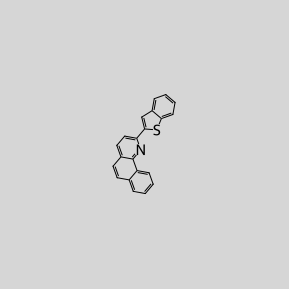 c1ccc2sc(-c3ccc4ccc5ccccc5c4n3)cc2c1